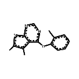 Cc1ccccc1Oc1ncnc2sc(C)c(C)c12